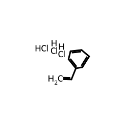 C=Cc1ccccc1.Cl.Cl.Cl